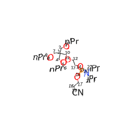 CCCOCC(COCCC)(COCCC)COCCOP(OCCC#N)N(C(C)C)C(C)C